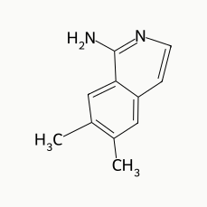 Cc1cc2ccnc(N)c2cc1C